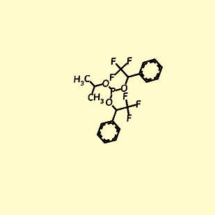 CC(C)OP(OC(c1ccccc1)C(F)(F)F)OC(c1ccccc1)C(F)(F)F